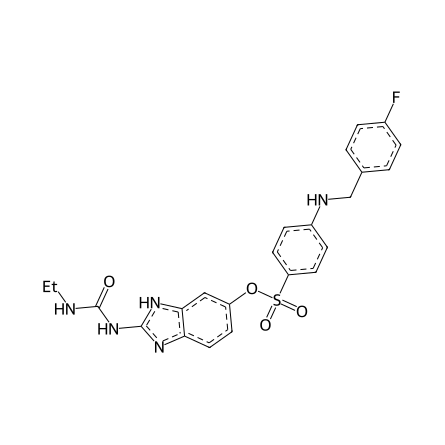 CCNC(=O)Nc1nc2ccc(OS(=O)(=O)c3ccc(NCc4ccc(F)cc4)cc3)cc2[nH]1